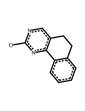 Clc1ncc2c(n1)-c1ccccc1CC2